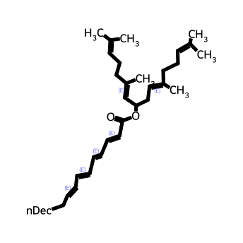 CCCCCCCCCCC/C=C/C=C/C=C/C=C/C(=O)OC(/C=C(\C)CCC=C(C)C)C/C=C(\C)CCC=C(C)C